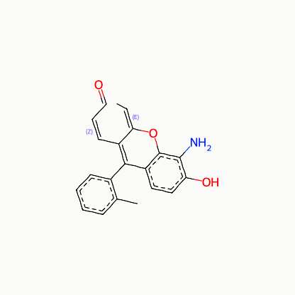 C/C=C1/Oc2c(ccc(O)c2N)C(c2ccccc2C)=C1/C=C\C=O